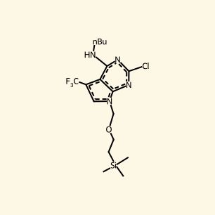 CCCCNc1nc(Cl)nc2c1c(C(F)(F)F)cn2COCC[Si](C)(C)C